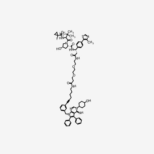 Cc1ncsc1-c1ccc([C@H](CC(=O)NCCOCCOCCC(=O)NCCCCC#Cc2cccc(Cn3c(-c4ccccc4)c(-c4ccccc4)c4c(=N)n(C5CCC(O)CC5)cnc43)c2)NC(=O)[C@@H]2C[C@@H](O)CN2C(=O)C(NC(=O)C2(F)CC2)C(C)(C)C)cc1